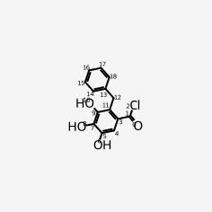 O=C(Cl)c1cc(O)c(O)c(O)c1Cc1ccccc1